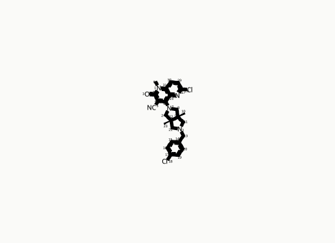 Cn1c(=O)c(C#N)c(N2C[C@]3(C)CN(Cc4ccc(Cl)cc4)C[C@]3(C)C2)c2nc(Cl)ccc21